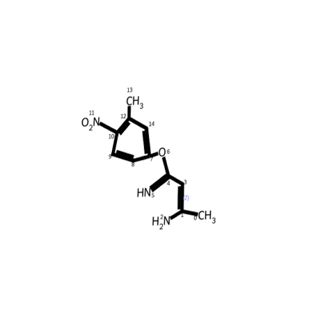 C/C(N)=C/C(=N)Oc1ccc([N+](=O)[O-])c(C)c1